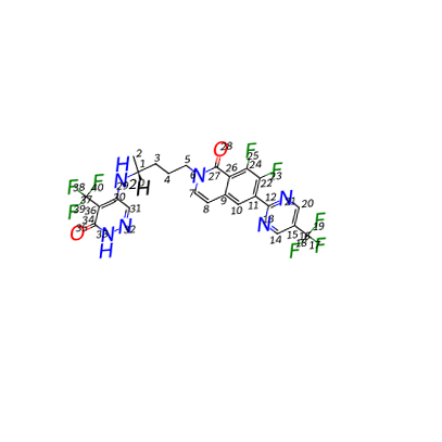 [2H][C@@](C)(CCCn1ccc2cc(-c3ncc(C(F)(F)F)cn3)c(F)c(F)c2c1=O)Nc1cn[nH]c(=O)c1C(F)(F)F